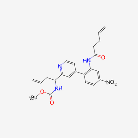 C=CCCC(=O)Nc1cc([N+](=O)[O-])ccc1-c1ccnc(C(CC=C)NC(=O)OC(C)(C)C)c1